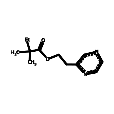 CCC(C)(C)C(=O)OCCc1cnccn1